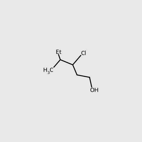 CCC(C)C(Cl)CCO